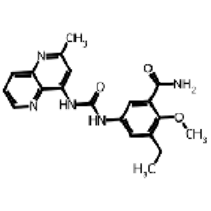 CCc1cc(NC(=O)Nc2cc(C)nc3cccnc23)cc(C(N)=O)c1OC